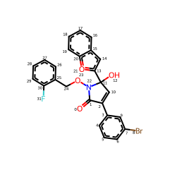 O=C1C(c2cccc(Br)c2)=CC(O)(c2cc3ccccc3o2)N1OCc1ccccc1F